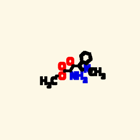 CCOC(=O)C(N)C(=O)c1cn(C)c2ccccc12